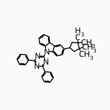 CC1(C)CC(c2ccc3c(c2)c2ccccc2n3-c2nc(-c3ccccc3)nc(-c3ccccc3)n2)CC1(C)C